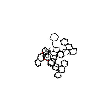 C[SiH](C)[Zr]([Cl])([Cl])([CH]1C(CC2CCCCC2)=Cc2c(-c3c4ccccc4cc4ccccc34)ccc(-c3c4ccccc4cc4ccccc34)c21)[CH]1C(CC2CCCCC2)=Cc2c(-c3c4ccccc4cc4ccccc34)ccc(-c3c4ccccc4cc4ccccc34)c21